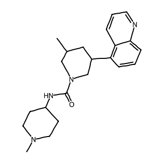 CC1CC(c2cccc3ncccc23)CN(C(=O)NC2CCN(C)CC2)C1